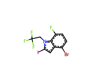 Fc1ccc(Br)c2cc(I)n(CC(F)(F)F)c12